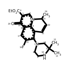 CCOC(=O)c1cn2c3c(c(N4CCNC(C)(C)C4)c(F)cc3c1=O)C=CC2C